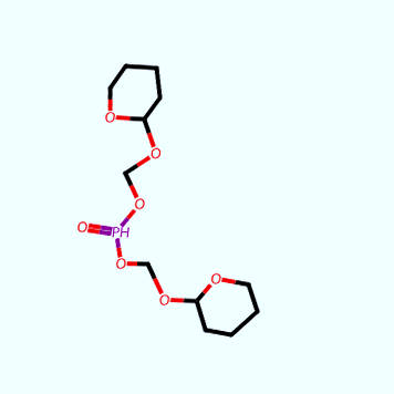 O=[PH](OCOC1CCCCO1)OCOC1CCCCO1